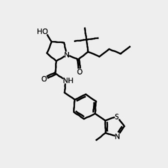 CCCCC(C(=O)N1CC(O)CC1C(=O)NCc1ccc(-c2scnc2C)cc1)C(C)(C)C